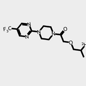 [2H]C(C)COCC(=O)N1CCN(c2ncc(C(F)(F)F)cn2)CC1